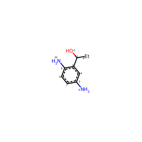 CCC(O)c1cc(N)ccc1N